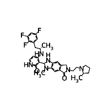 C[C@@H]1CCCN1CCN1Cc2cc3c(cc2C1=O)N(C)C(c1c(N[C@@H](C)Cc2cc(F)cc(F)c2F)cc[nH]c1=O)N3